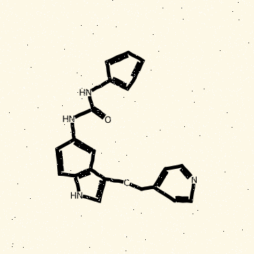 O=C(Nc1ccccc1)Nc1ccc2[nH]cc(CCc3ccncc3)c2c1